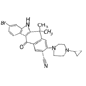 CC1(C)c2cc(N3CCN(C4CC4)CC3)c(C#N)cc2C(=O)c2c1[nH]c1cc(Br)ccc21